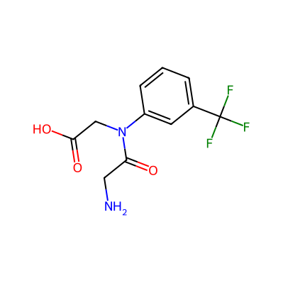 NCC(=O)N(CC(=O)O)c1cccc(C(F)(F)F)c1